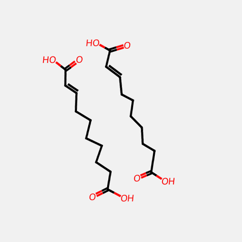 O=C(O)C=CCCCCCCC(=O)O.O=C(O)C=CCCCCCCC(=O)O